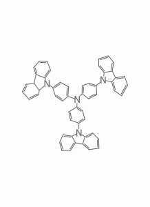 C1=CC2c3ccccc3N(c3ccc(N(c4ccc(-n5c6ccccc6c6ccccc65)cc4)c4ccc(-n5c6ccccc6c6ccccc65)cc4)cc3)C2C=C1